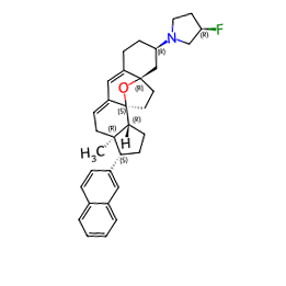 C[C@]12CC=C3C=C4CC[C@@H](N5CC[C@@H](F)C5)C[C@]45CC[C@]3(O5)[C@@H]1CC[C@@H]2c1ccc2ccccc2c1